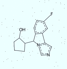 OC1CCCC1C1c2ccc(F)cc2-c2cncn21